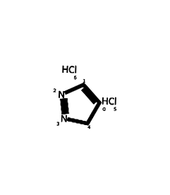 C1=CN=NC1.Cl.Cl